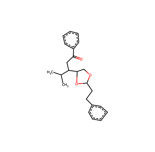 CC(C)C(CC(=O)c1ccccc1)C1COC(CCc2ccccc2)O1